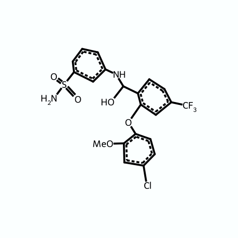 COc1cc(Cl)ccc1Oc1cc(C(F)(F)F)ccc1C(O)Nc1cccc(S(N)(=O)=O)c1